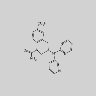 NC(=O)N1CC(N(c2cccnc2)c2ncccn2)Cc2cc(C(=O)O)ccc21